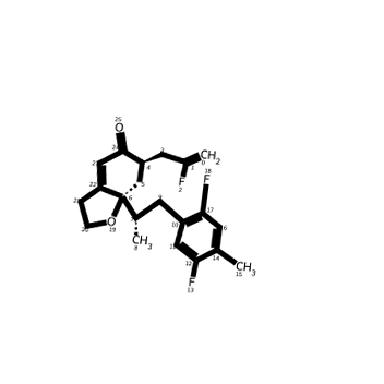 C=C(F)C[C@H]1C[C@]2([C@@H](C)Cc3cc(F)c(C)cc3F)OCCC2=CC1=O